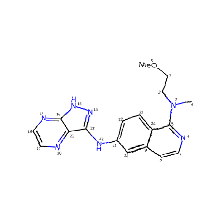 COCCN(C)c1nccc2cc(Nc3n[nH]c4nccnc34)ccc12